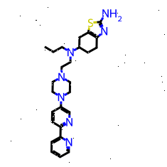 CCCN(CCN1CCN(c2ccc(-c3ccccn3)nc2)CC1)C1CCc2nc(N)sc2C1